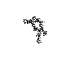 CS(=O)(=O)OCC1CN(c2ccc(C(=N)NC(=O)OCc3ccccc3)cc2)C(=O)O1.N=C(NC(=O)OCc1ccccc1)c1ccc(N2CC(CN3CCN(CC(=O)OCc4ccccc4)CC3)OC2=O)cc1